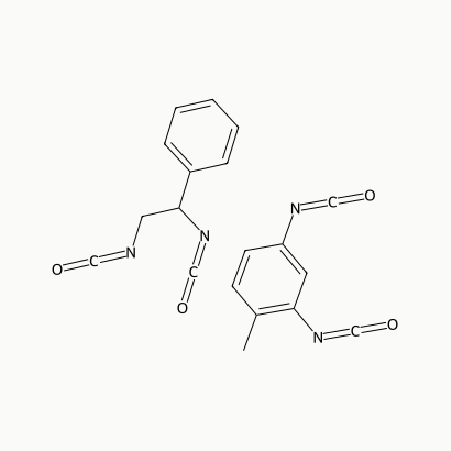 Cc1ccc(N=C=O)cc1N=C=O.O=C=NCC(N=C=O)c1ccccc1